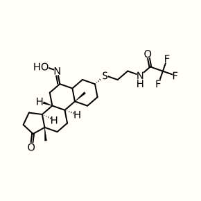 C[C@]12CC[C@@H](SCCNC(=O)C(F)(F)F)CC1/C(=N/O)C[C@@H]1[C@@H]2CC[C@]2(C)C(=O)CC[C@@H]12